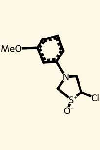 COc1cccc(N2CC(Cl)[S+]([O-])C2)c1